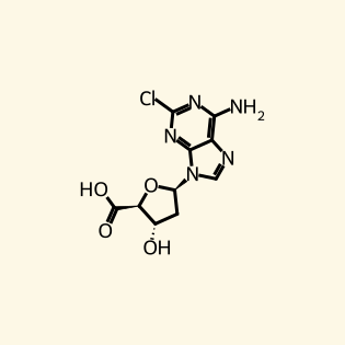 Nc1nc(Cl)nc2c1ncn2[C@H]1C[C@H](O)[C@@H](C(=O)O)O1